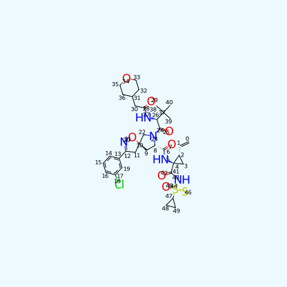 C=C[C@@H]1C[C@]1(NC(=O)[C@@H]1C[C@]2(CC(c3cccc(Cl)c3)=NO2)CN1C(=O)[C@@H](NC(=O)CC1CCOCC1)C(C)(C)C)C(=O)NS(=O)(=S)C1CC1